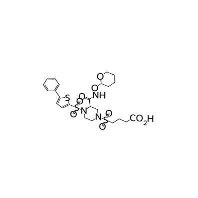 O=C(O)CCCS(=O)(=O)N1CCN(S(=O)(=O)c2ccc(-c3ccccc3)s2)[C@@H](C(=O)NOC2CCCCO2)C1